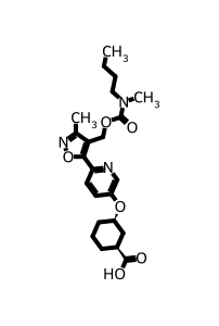 CCCCN(C)C(=O)OCc1c(C)noc1-c1ccc(O[C@H]2CCC[C@H](C(=O)O)C2)cn1